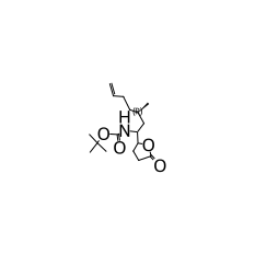 C=CCC[C@@H](C)CC(NC(=O)OC(C)(C)C)C1CCC(=O)O1